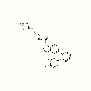 Cc1cc(-c2ncccc2-c2ccn3c(C(=O)NCCCN4CCNC4)ncc3c2)ccc1F